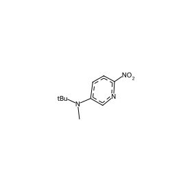 CN(c1ccc([N+](=O)[O-])nc1)C(C)(C)C